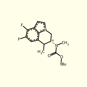 CC1c2cc(F)c(F)c3ccn(c23)C[C@@H]1N(C)C(=O)OC(C)(C)C